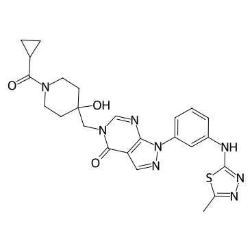 Cc1nnc(Nc2cccc(-n3ncc4c(=O)n(CC5(O)CCN(C(=O)C6CC6)CC5)cnc43)c2)s1